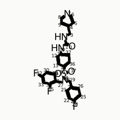 O=C(NCc1ccncc1)Nc1ccc(S(=O)(=O)N(Cc2ccc(F)cc2)Cc2ccc(F)cc2F)cc1